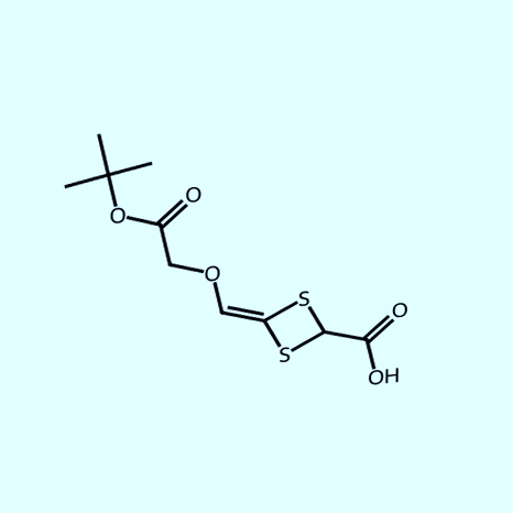 CC(C)(C)OC(=O)COC=C1SC(C(=O)O)S1